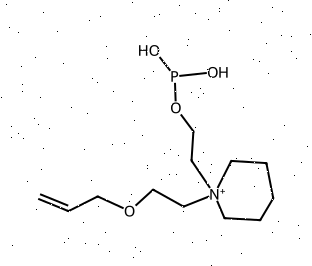 C=CCOCC[N+]1(CCOP(O)O)CCCCC1